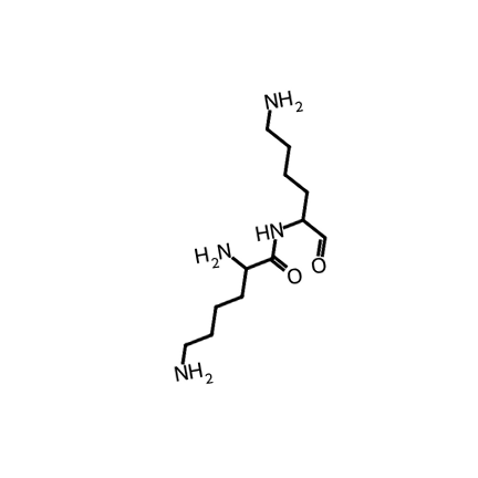 NCCCCC(C=O)NC(=O)C(N)CCCCN